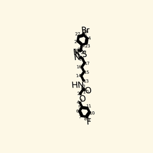 O=C(COCc1ccc(F)cc1)NCCCCCc1nnc(-c2ccc(Br)cc2)s1